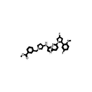 COC(=O)c1cccc(CN2CCC(Nc3cnc4ccc(N5CC(F)CC5c5cc(F)ccc5SC)nn34)C2)c1